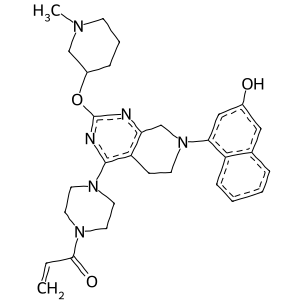 C=CC(=O)N1CCN(c2nc(OC3CCCN(C)C3)nc3c2CCN(c2cc(O)cc4ccccc24)C3)CC1